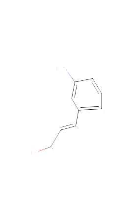 Nc1cccc(/C=C/CO)c1